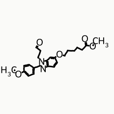 COC(=O)CCCCCOc1ccc2nc(-c3ccc(OC)cc3)n(CCC=O)c2c1